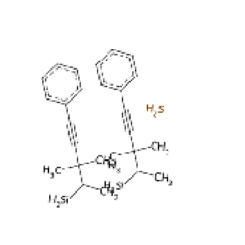 CC([SiH3])C(C)(C)C#Cc1ccccc1.CC([SiH3])C(C)(C)C#Cc1ccccc1.S